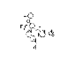 F/C(=C\c1ccc(Oc2ccccc2F)c(C(F)(F)F)c1N1CCCC2(CCN(CC3CC3)CC2)C1)c1nccc(-c2cnsc2)n1